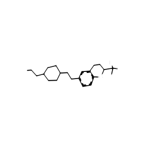 CCCC1CCC(CCc2ccc3c(c2)CCC(C(F)(F)F)O3)CC1